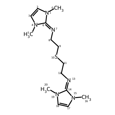 Cn1ccn(C)c1=NCCSCCN=c1n(C)ccn1C